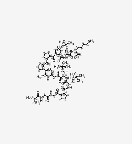 C[C@H](N)C(=O)NCC(=O)NCC(=O)N1CCC[C@H]1C(=O)N[C@@H](COC(C)(C)C)C(=O)N[C@@H](COC(C)(C)C)C(=O)NCC(=O)N[C@@H](C)C(=O)N1CCC[C@H]1C(=O)N1CCC[C@H]1C(=O)N1CCC[C@H]1C(=O)N[C@@H](COC(C)(C)C)C(=O)N[C@@H](CCCCN)C(=O)O